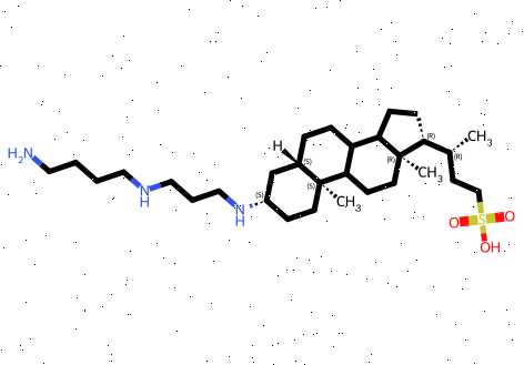 C[C@H](CCS(=O)(=O)O)[C@H]1CCC2C3CC[C@H]4C[C@@H](NCCCNCCCCN)CC[C@]4(C)C3CC[C@@]21C